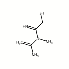 C=C(C)N(C)C(=N)CS